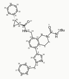 CC(C)(C)NC(=O)N1CCc2c(-c3cnn(Cc4ccccc4)c3)ccc(CNC(=O)[C@H]3C[C@@H]3c3ccccc3)c2C1